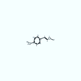 CO/C=C/c1ccc(OC)cc1